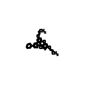 C=CCOc1ccc2c(c1)Oc1cc(OCC=C)ccc1C2(C)c1ccc(C2CCCCC2)cc1